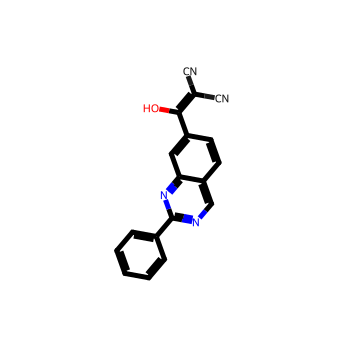 N#CC(C#N)=C(O)c1ccc2cnc(-c3ccccc3)nc2c1